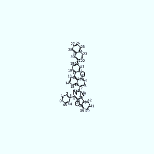 c1ccc(-c2nc(-c3ccc4c5c(cccc35)-c3ccc(-c5ccc6ccccc6c5)cc3O4)nc3c2oc2ccccc23)cc1